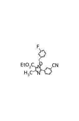 CCOC(=O)c1c(C)nc(-c2cccc(C#N)c2)n1OCc1cccc(F)c1